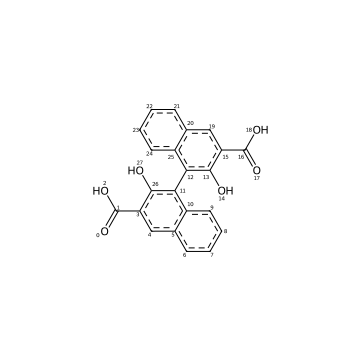 O=C(O)c1cc2ccccc2c(-c2c(O)c(C(=O)O)cc3ccccc23)c1O